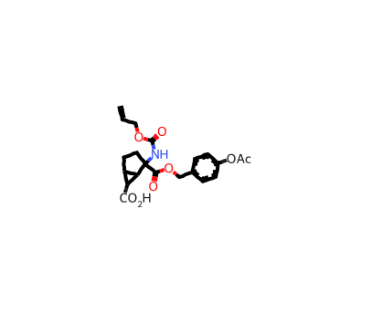 C=CCOC(=O)NC1(C(=O)OCc2ccc(OC(C)=O)cc2)CCC2C(C(=O)O)C21